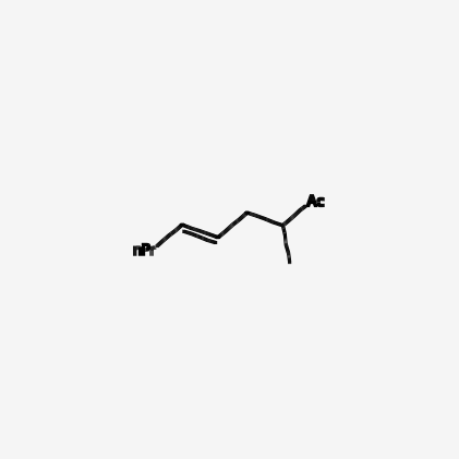 CCCC=CCC(C)C(C)=O